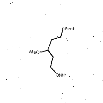 CCCCCCCC(CCOC)OC